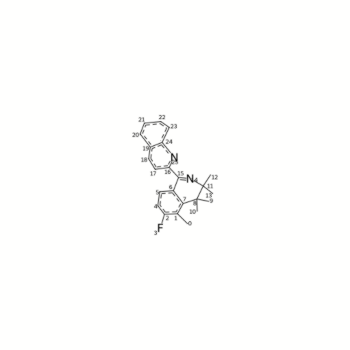 Cc1c(F)ccc2c1C(C)(C)C(C)(C)N=C2c1ccc2ccccc2n1